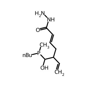 C=CC(C/C=C/C(=O)NN)C(O)P(C)CCCC